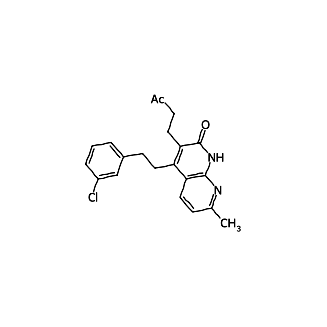 CC(=O)CCc1c(CCc2cccc(Cl)c2)c2ccc(C)nc2[nH]c1=O